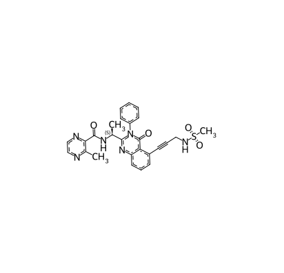 Cc1nccnc1C(=O)N[C@@H](C)c1nc2cccc(C#CCNS(C)(=O)=O)c2c(=O)n1-c1ccccc1